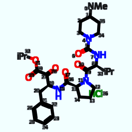 CNC1CCN(C(=O)N[C@H](C(=O)N2CCC[C@H]2C(=O)N[C@@H](Cc2ccccc2)C(=O)C(=O)OC(C)C)C(C)C)CC1.Cl